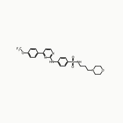 O=S(=O)(NCCCN1CCOCC1)c1ccc(Nc2nccc(-c3ccc(OC(F)(F)F)cc3)n2)cc1